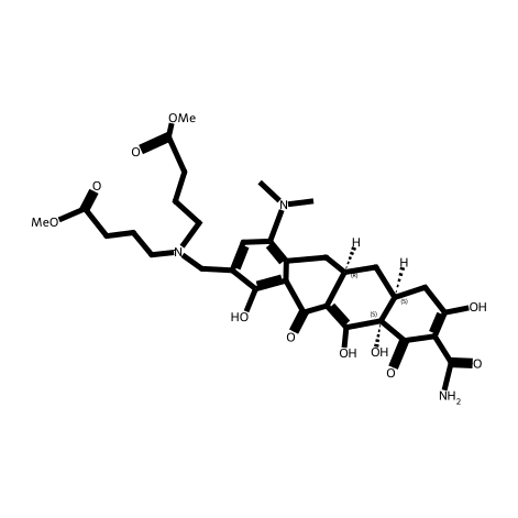 COC(=O)CCCN(CCCC(=O)OC)Cc1cc(N(C)C)c2c(c1O)C(=O)C1=C(O)[C@]3(O)C(=O)C(C(N)=O)=C(O)C[C@@H]3C[C@@H]1C2